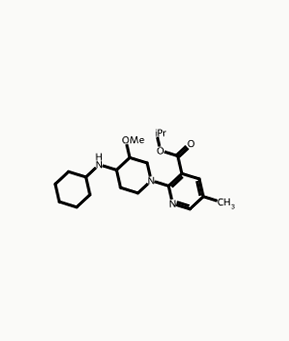 COC1CN(c2ncc(C)cc2C(=O)OC(C)C)CCC1NC1CCCCC1